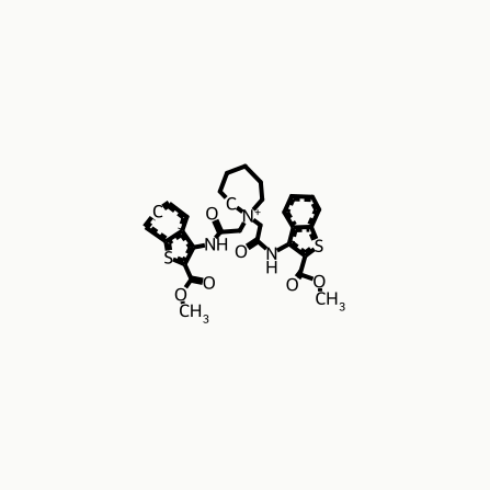 COC(=O)c1sc2ccccc2c1NC(=O)C[N+]1(CC(=O)Nc2c(C(=O)OC)sc3ccccc23)CCCCCC1